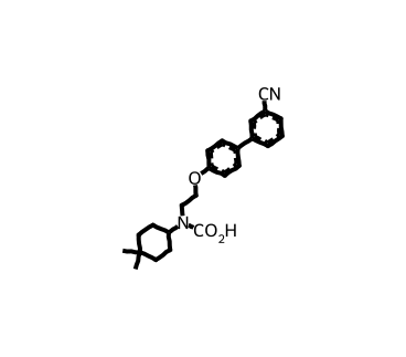 CC1(C)CCC(N(CCOc2ccc(-c3cccc(C#N)c3)cc2)C(=O)O)CC1